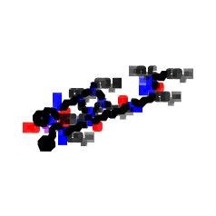 O=C(O)CC[C@H](NC(=O)N[C@@H](CCCCNC(=O)CCCCCCC(=O)NCCCC[C@@H](NC(=O)[C@@H](CCc1ccccc1)NC(=O)[C@@H](Cc1ccc(O)c(I)c1)NC(=O)CC[C@H](C(=O)O)N1CCN(CC(=O)O)CCN(CC(=O)O)CCN(CC(=O)O)CC1)C(=O)O)C(=O)O)C(=O)O